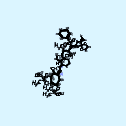 C=C1/C(=C\C=C2/CCC[C@]3(C)[C@@H]([C@H](C)C(O)C(CCC4(C5(CCCCCC)OCCO5)CC4)S(=O)(=O)c4ccccc4)CC[C@@H]23)C[C@@H](O[Si](C)(C)C(C)(C)C)C[C@@H]1O[Si](C)(C)C(C)(C)C